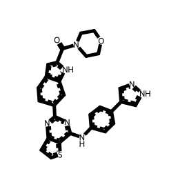 O=C(c1cc2ccc(-c3nc(Nc4ccc(-c5cn[nH]c5)cc4)c4sccc4n3)cc2[nH]1)N1CCOCC1